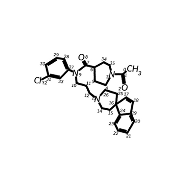 CC(=O)N1CCC(C(=O)N(CCCN2CCC3(C=Cc4ccccc43)CC2)c2cccc(Cl)c2)CC1